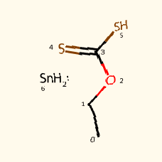 CCOC(=S)S.[SnH2]